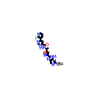 CC(NC(=O)c1cc(-c2cccnc2F)ncn1)c1cc(-c2nc3cnc(C(C)(C)C)nc3[nH]2)no1